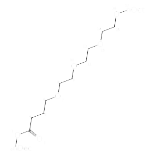 CCCCCCCCCCOC(=O)CCCOCCOCCOCCOCCCCCCCC